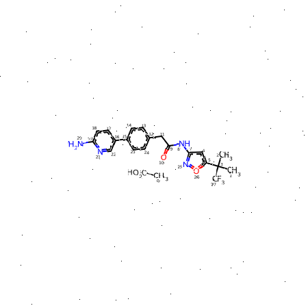 CC(=O)O.CC(C)(c1cc(NC(=O)Cc2ccc(-c3ccc(N)nc3)cc2)no1)C(F)(F)F